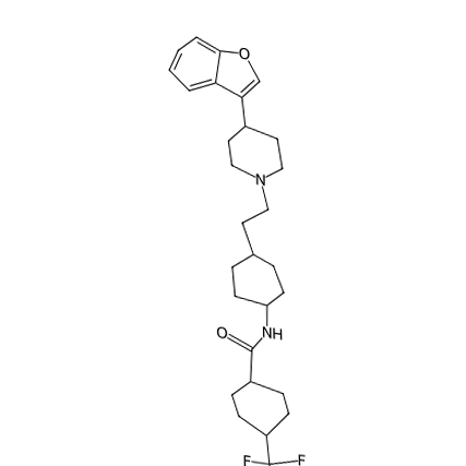 O=C(NC1CCC(CCN2CCC(c3coc4ccccc34)CC2)CC1)C1CCC(C(F)(F)F)CC1